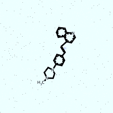 CN1CCN(c2ccc(/C=C/c3ccnc4ccccc34)cc2)CC1